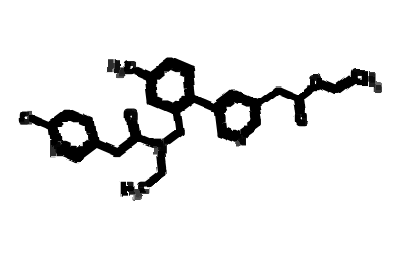 CCOC(=O)Cc1cncc(-c2ccc(C)cc2CN(CC)C(=O)Cc2ccc(Cl)nc2)c1